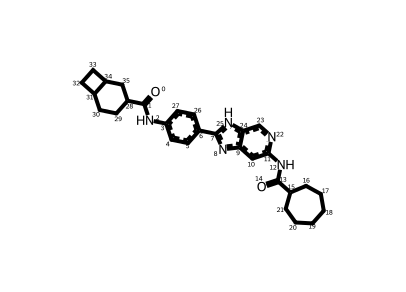 O=C(Nc1ccc(-c2nc3cc(NC(=O)C4CCCCCC4)ncc3[nH]2)cc1)C1CCC2CCC2C1